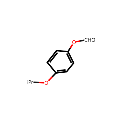 CC(C)Oc1ccc(OC=O)cc1